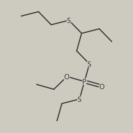 CCCSC(CC)CSP(=O)(OCC)SCC